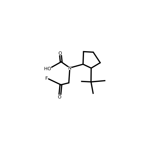 CC(C)(C)C1CCCC1N(CC(=O)F)C(=O)O